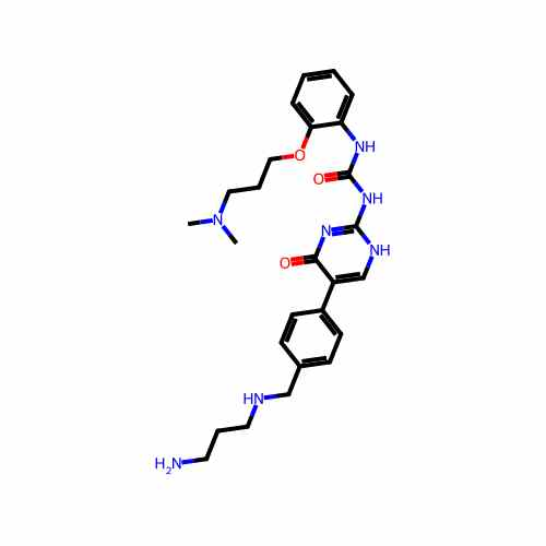 CN(C)CCCOc1ccccc1NC(=O)Nc1nc(=O)c(-c2ccc(CNCCCN)cc2)c[nH]1